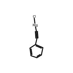 [Cl][Mg][C]#Cc1ccccc1